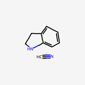 C#N.c1ccc2c(c1)CCN2